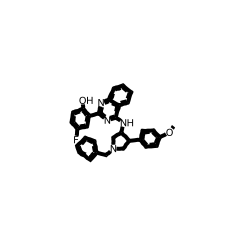 COc1ccc(C2CN(Cc3ccccc3)CC2Nc2nc(-c3cc(F)ccc3O)nc3ccccc23)cc1